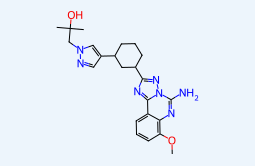 COc1cccc2c1nc(N)n1nc(C3CCCC(c4cnn(CC(C)(C)O)c4)C3)nc21